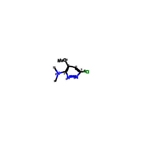 COc1cc(Cl)nnc1N(C)C